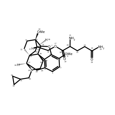 COc1ccc2c3c1O[C@H]1[C@@]4(OC)CC[C@@]5(C[C@@H]4COC(=O)C(N)CCC(N)=O)[C@@H](C2)N(CC2CC2)CC[C@]315